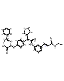 CCOC(=O)/C=C/c1cccc(NC(=O)C(c2ccc(CN3N=C(c4ccccc4)OCC3=O)cc2)C2CCCC2)c1